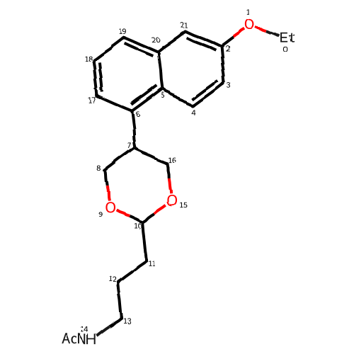 CCOc1ccc2c(C3COC(CCCNC(C)=O)OC3)cccc2c1